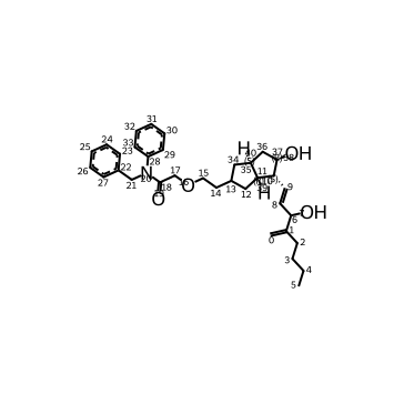 C=C(CCCC)C(O)C=C[C@@H]1[C@@H]2CC(CCOCC(=O)N(Cc3ccccc3)c3ccccc3)C[C@H]2C[C@H]1O